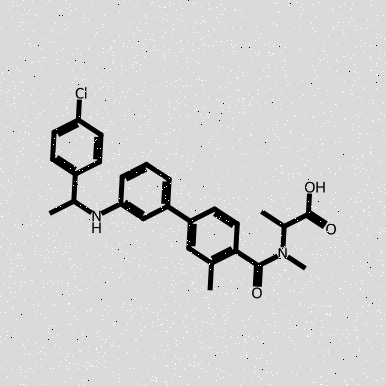 Cc1cc(-c2cccc(NC(C)c3ccc(Cl)cc3)c2)ccc1C(=O)N(C)C(C)C(=O)O